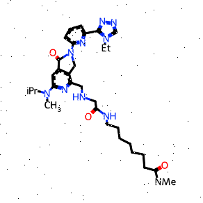 CCn1cnnc1-c1cccc(N2Cc3c(cc(N(C)C(C)C)nc3CNCC(=O)NCCCCCCCC(=O)NC)C2=O)n1